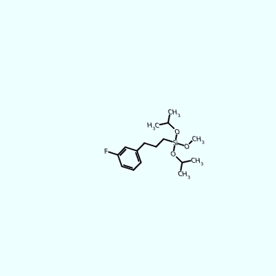 CO[Si](CCCc1cccc(F)c1)(OC(C)C)OC(C)C